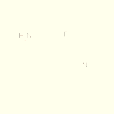 CN(C)c1cccc(N)c1F